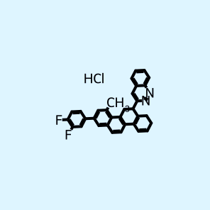 Cc1cc(-c2ccc(F)c(F)c2)cc2ccc3c(c12)CC(c1cc2ccccc2nn1)C1=C3C=CCC1.Cl